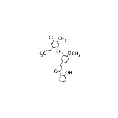 CCCc1cc(Cl)c(C)cc1OCc1cc(/C=C/C(=O)c2ccccc2O)ccc1OC